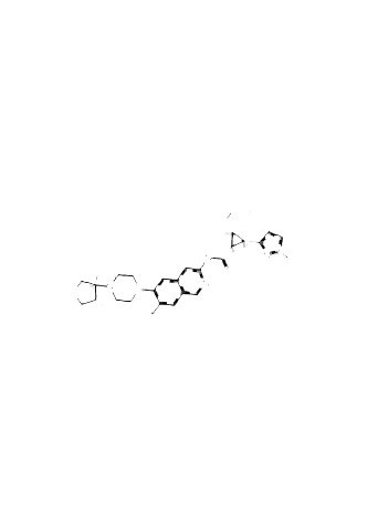 CC[C@H]1[C@@H](C(=O)Nc2cc3cc(N4CCN([C@@]5(C)COC[C@H]5O)CC4)c(Cl)cc3cn2)[C@@H]1c1ccn(C)n1